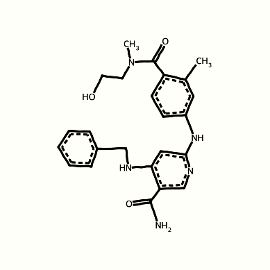 Cc1cc(Nc2cc(NCc3ccccc3)c(C(N)=O)cn2)ccc1C(=O)N(C)CCO